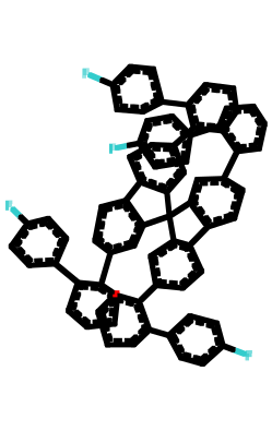 Fc1ccc(-c2ccccc2-c2ccc3c(c2)C2(c4cc(-c5ccccc5-c5ccc(F)cc5)ccc4-3)c3cc(-c4ccccc4-c4ccc(F)cc4)ccc3-c3ccc(-c4ccccc4-c4ccc(F)cc4)cc32)cc1